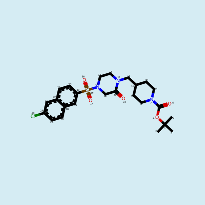 CC(C)(C)OC(=O)N1CCC(CN2CCN(S(=O)(=O)c3ccc4cc(Cl)ccc4c3)CC2=O)CC1